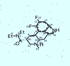 CCN(CC)C(=O)[C@@H]1C=C2c3c(F)c(F)cc4[nH]cc(c34)C[C@H]2N(C)C1